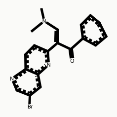 CN(C)/C=C(/C(=O)c1ccccc1)c1ccc2ncc(Br)cc2n1